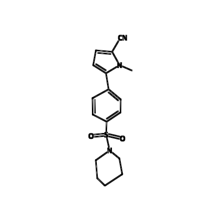 Cn1c(C#N)ccc1-c1ccc(S(=O)(=O)N2CCCCC2)cc1